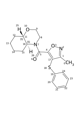 Cc1noc(C(=O)N2CCO[C@H]3CCCC[C@@H]32)c1Sc1ccccc1